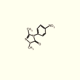 Cc1nn(C)c(=O)n1-c1ccc([N+](=O)[O-])cc1